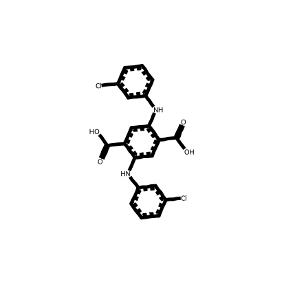 O=C(O)c1cc(Nc2cccc(Cl)c2)c(C(=O)O)cc1Nc1cccc(Cl)c1